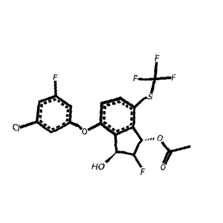 CC(=O)O[C@H]1c2c(SC(F)(F)F)ccc(Oc3cc(F)cc(Cl)c3)c2[C@H](O)C1F